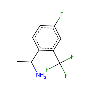 CC(N)c1ccc(F)cc1C(F)(F)F